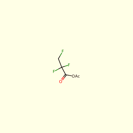 CC(=O)OC(=O)C(F)(F)CF